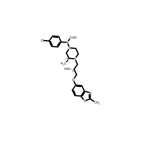 Cc1nc2cc(OC[C@H](O)CN3CCN(N(C=O)c4ccc(Cl)cc4)C[C@@H]3C)ccc2s1